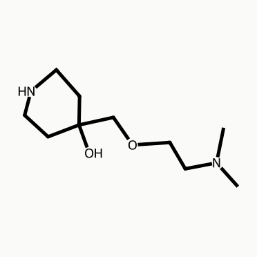 CN(C)CCOCC1(O)CCNCC1